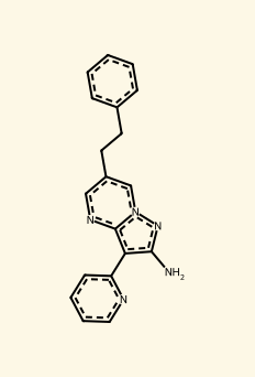 Nc1nn2cc(CCc3ccccc3)cnc2c1-c1ccccn1